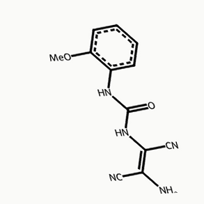 COc1ccccc1NC(=O)N/C(C#N)=C(/N)C#N